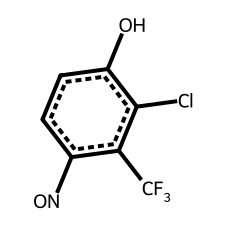 O=Nc1ccc(O)c(Cl)c1C(F)(F)F